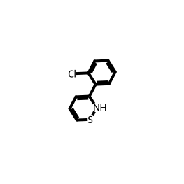 Clc1ccccc1C1=CC=CSN1